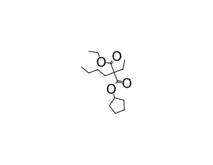 CCCCC(CC)(C(=O)OCC)C(=O)OC1CCCC1